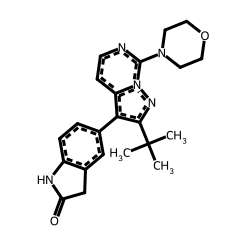 CC(C)(C)c1nn2c(N3CCOCC3)nccc2c1-c1ccc2c(c1)CC(=O)N2